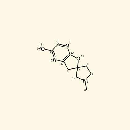 CN1CCC2(Cc3nc(O)cnc3O2)C1